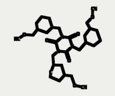 N#COCC1CCCC(Cn2c(=O)n(CC3CCCC(COC#N)C3)c(=O)n(CC3CCCC(COC#N)C3)c2=O)C1